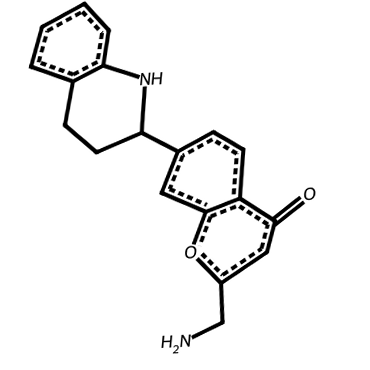 NCc1cc(=O)c2ccc(C3CCc4ccccc4N3)cc2o1